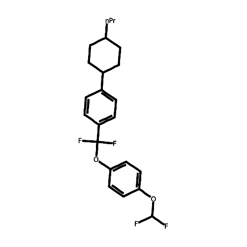 CCCC1CCC(c2ccc(C(F)(F)Oc3ccc(OC(F)F)cc3)cc2)CC1